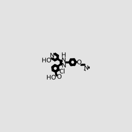 CN(C)CCOc1ccc(-c2nc(-c3cccc(C(=O)O)c3Cl)c(-c3ccnc(O)c3)[nH]2)cc1